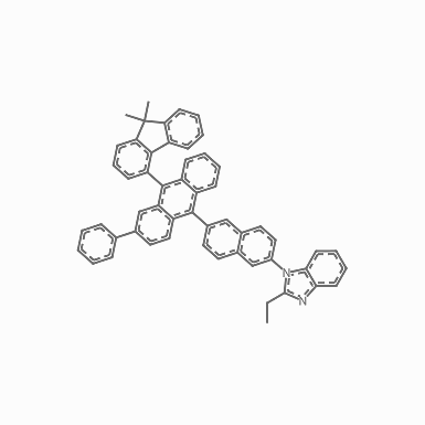 CCc1nc2ccccc2n1-c1ccc2cc(-c3c4ccccc4c(-c4cccc5c4-c4ccccc4C5(C)C)c4cc(-c5ccccc5)ccc34)ccc2c1